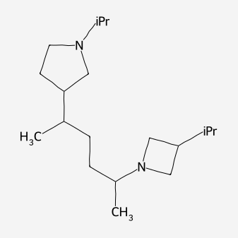 CC(C)C1CN(C(C)CCC(C)C2CCN(C(C)C)C2)C1